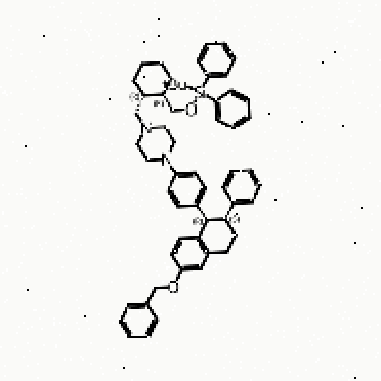 CC(C)(C)[Si](OC[C@@H]1CCCC[C@H]1CN1CCN(c2ccc([C@@H]3c4ccc(OCc5ccccc5)cc4CC[C@@H]3c3ccccc3)cc2)CC1)(c1ccccc1)c1ccccc1